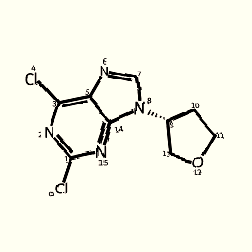 Clc1nc(Cl)c2ncn([C@@H]3CCOC3)c2n1